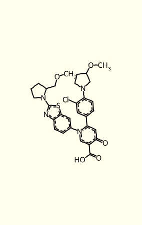 COCC1CCCN1c1nc2ccc(-n3cc(C(=O)O)c(=O)cc3-c3ccc(N4CCC(OC)C4)c(Cl)c3)cc2s1